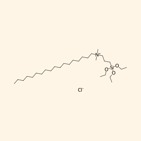 CCCCCCCCCCCCCCCCCC[N+](C)(C)CCC[Si](OCC)(OCC)OCC.[Cl-]